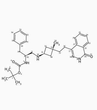 CC(C)(C)OC(=O)N[C@H](CN[C@H]1C[C@](C)(CCc2n[nH]c(=O)c3ccccc23)C1)Cc1ccccc1